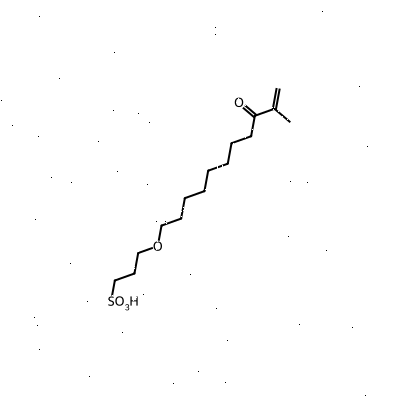 C=C(C)C(=O)CCCCCCCCOCCCS(=O)(=O)O